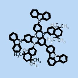 CC1(C)CCC(C)(C)c2cc(N3c4cc(-n5c6ccccc6c6ccccc65)ccc4B4c5ccc(-n6c7ccccc7c7ccccc76)cc5N(c5ccc6c(c5)C(C)(C)CCC6(C)C)c5cc(-c6ccc7c(c6)c6cccc8c9ccccc9n7c86)cc3c54)ccc21